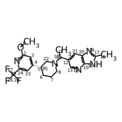 COc1cc([C@H]2CCCN([C@@H](C)c3cnc4[nH]c(C)nc4c3)C2)cc(C(F)(F)F)n1